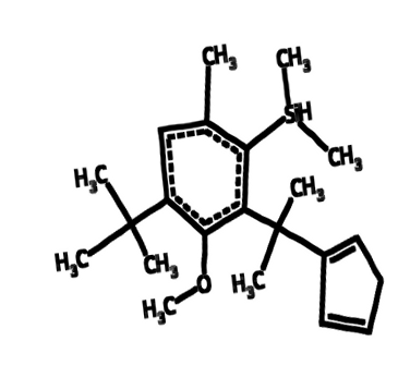 COc1c(C(C)(C)C)cc(C)c([SiH](C)C)c1C(C)(C)C1=CCC=C1